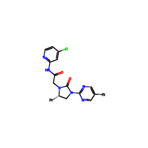 CCc1cnc(N2C[C@H](C(C)C)N(CC(=O)Nc3cc(Cl)ccn3)C2=O)nc1